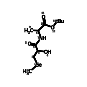 C[Se]CC(O)C(=O)NC(C)C(=O)OC(C)(C)C